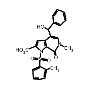 Cc1ccccc1S(=O)(=O)n1c(C(=O)O)cc2c(C(O)c3ccccc3)cn(C)c(=O)c21